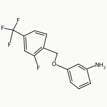 Nc1cccc(OCc2ccc(C(F)(F)F)cc2F)c1